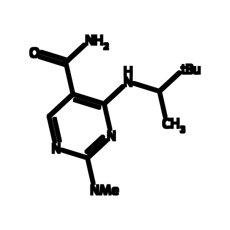 CNc1ncc(C(N)=O)c(NC(C)C(C)(C)C)n1